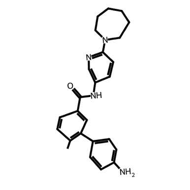 Cc1ccc(C(=O)Nc2ccc(N3CCCCCC3)nc2)cc1-c1ccc(N)cc1